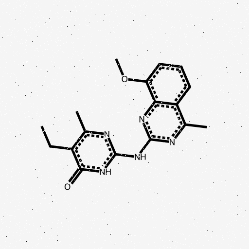 CCc1c(C)nc(Nc2nc(C)c3cccc(OC)c3n2)[nH]c1=O